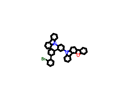 Brc1ccccc1-c1cccc(-c2cc(-n3c4ccccc4c4c5oc6ccccc6c5ccc43)ccc2-n2c3ccccc3c3ccccc32)c1